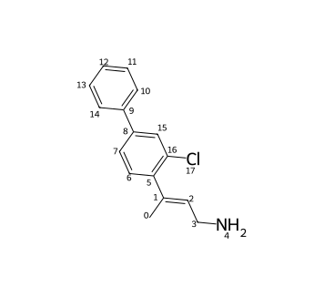 CC(=CCN)c1ccc(-c2ccccc2)cc1Cl